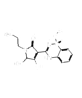 CCOP1(=O)N=C(C2=C(O)C(C(C)(C)C)N(CCC(C)(C)C)C2=O)Nc2ccccc21